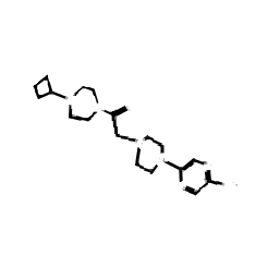 N#Cc1cnc(N2CCN(CC(=O)N3CCN(C4CCC4)CC3)CC2)cn1